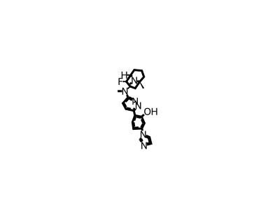 CN(c1ccc(-c2ccc(-n3ccnc3)cc2O)nn1)[C@@H]1C[C@@]2(C)CCC[C@@H]([C@@H]1F)N2C